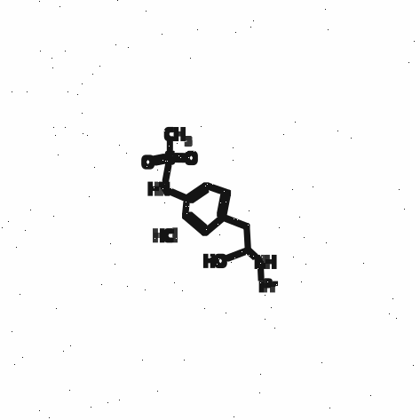 CC(C)NC(O)Cc1ccc(NS(C)(=O)=O)cc1.Cl